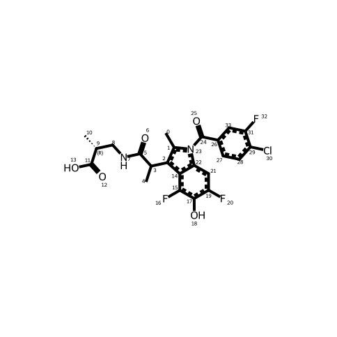 Cc1c(C(C)C(=O)NC[C@@H](C)C(=O)O)c2c(F)c(O)c(F)cc2n1C(=O)c1ccc(Cl)c(F)c1